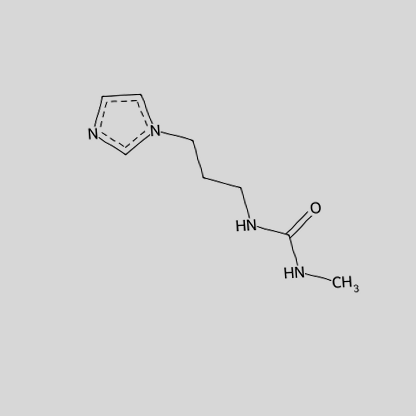 CNC(=O)NCCCn1ccnc1